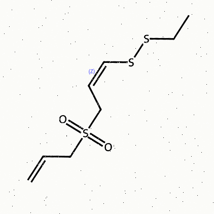 C=CCS(=O)(=O)C/C=C\SSCC